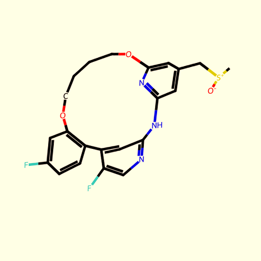 C[S+]([O-])Cc1cc2nc(c1)OCCCCOc1cc(F)ccc1-c1cc(ncc1F)N2